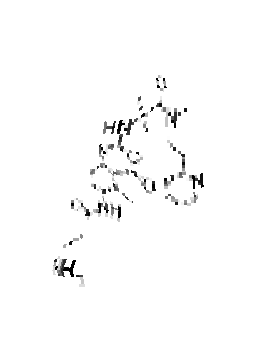 Cc1c(NC(=O)CCN)ccc2nc(NC(C)(C)C(=O)N(C)CCc3ccccn3)oc(=O)c12